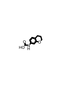 O=C(O)Nc1ccc2c(c1)OCCC2